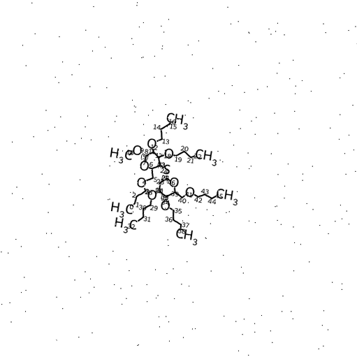 CCCCOCC1O[C@H](OC)C(OCCCC)C(OCCCC)[C@H]1S[C@H]1C[C@@H](OCCCC)[C@H](OCCCC)C(COCCCC)O1